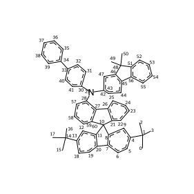 CC(C)(C)c1ccc2c(c1)C1(c3cc(C(C)(C)C)ccc3-2)c2ccccc2-c2c(N(c3ccc(-c4ccccc4)cc3)c3ccc4c(c3)C(C)(C)c3ccccc3-4)cccc21